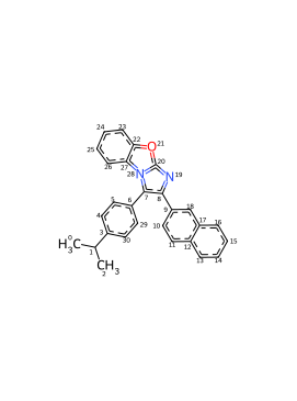 CC(C)c1ccc(-c2c(-c3ccc4ccccc4c3)nc3oc4ccccc4n23)cc1